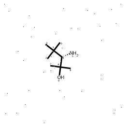 CC(C)(C)[C@H](N)C(C)(C)O